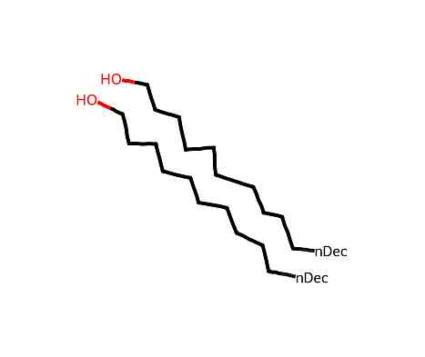 CCCCCCCCCCCCCCCCCCCCO.CCCCCCCCCCCCCCCCCCCCO